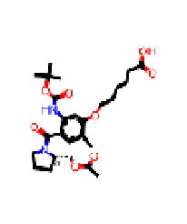 CC(=O)OC[C@@H]1CCCN1C(=O)c1cc(C)c(OCCCCCC(=O)O)cc1NC(=O)OC(C)(C)C